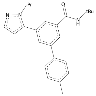 Cc1ccc(-c2cc(C(=O)NC(C)(C)C)cc(-c3ccnn3C(C)C)c2)cc1